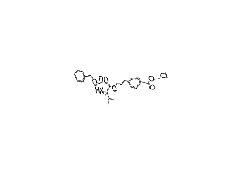 CC(C)[C@H](NC(=O)OCc1ccccc1)C(=O)OCCCc1ccc(C(=O)OCCl)cc1